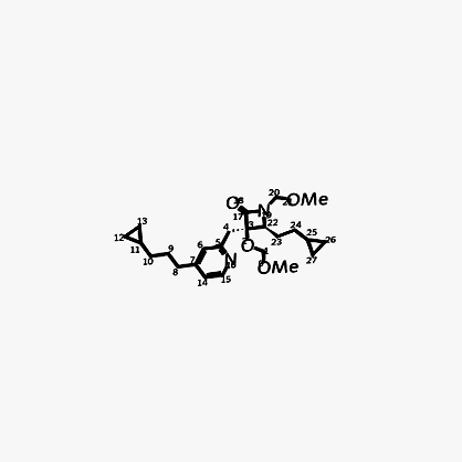 COCO[C@@]1(Cc2cc(CCCC3CC3)ccn2)C(=O)N(COC)[C@H]1CCC1CC1